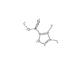 COC(=O)c1occ(C)c1C